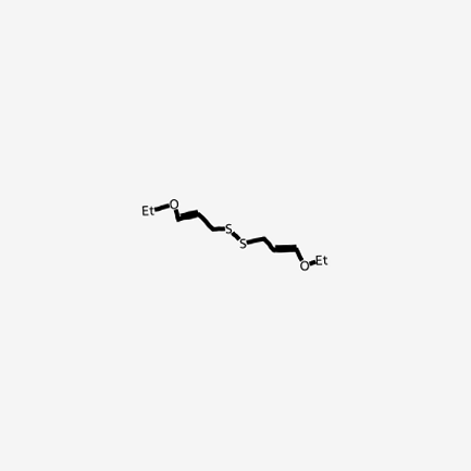 CCOC=CCSSCC=COCC